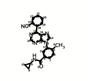 Cc1ccc(C(=O)NC2CC2)cc1-n1cnc2c(-c3ccccc3C#N)ncnc21